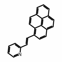 C(=Cc1ccc2ccc3cccc4ccc1c2c34)c1ccccn1